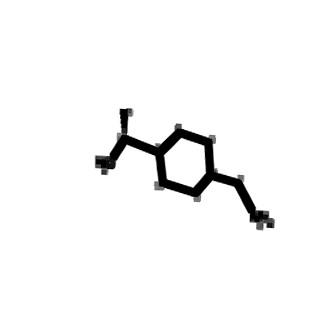 C[C@@H](O)C1CCC(CN)CC1